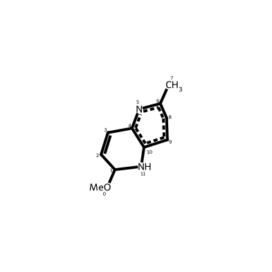 COC1C=Cc2nc(C)ccc2N1